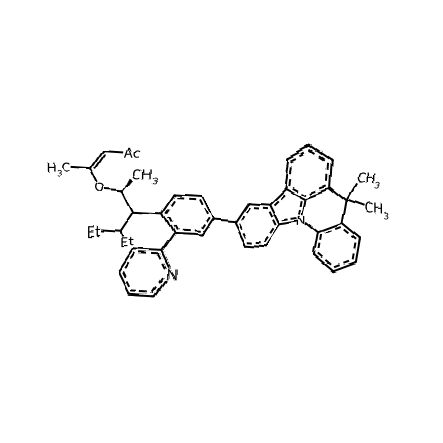 CCC(CC)C(c1ccc(-c2ccc3c(c2)c2cccc4c2n3-c2ccccc2C4(C)C)cc1-c1ccccn1)[C@H](C)O/C(C)=C\C(C)=O